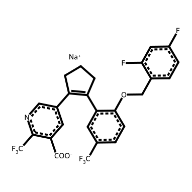 O=C([O-])c1cc(C2=C(c3cc(C(F)(F)F)ccc3OCc3ccc(F)cc3F)CCC2)cnc1C(F)(F)F.[Na+]